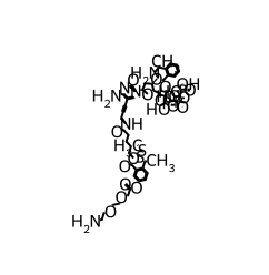 CSSC(C)c1ccc(OC(=O)COCCOCCN)cc1C(=O)OCCCCC(=O)NCC#Cc1cn([C@H]2C[C@@H](OC(=O)c3ccccc3C(C)N)C(COP(=O)(O)OP(=O)(O)OP(=O)(O)O)O2)c(=O)nc1N